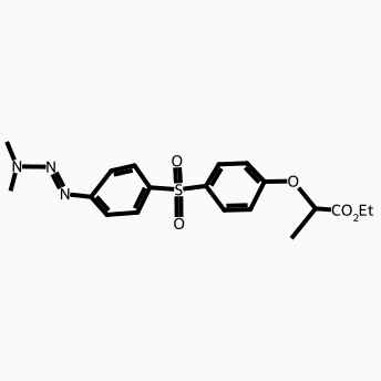 CCOC(=O)C(C)Oc1ccc(S(=O)(=O)c2ccc(N=NN(C)C)cc2)cc1